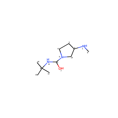 CNC1CCN(C(O)NC(C)(C)C)C1